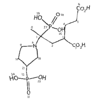 CC(CC(CCC(=O)O)C(=O)O)(N1CCC(P(=O)(O)O)C1)P(=O)(O)O